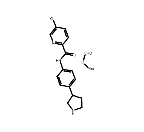 CC(C)(C)OC=O.O=C(Nc1ccc(C2CCNC2)cc1)c1ccc(Cl)cn1